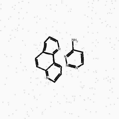 Nc1ccnnn1.c1cnc2c(c1)ccc1ncccc12